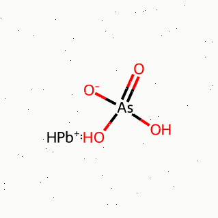 O=[As]([O-])(O)O.[PbH+]